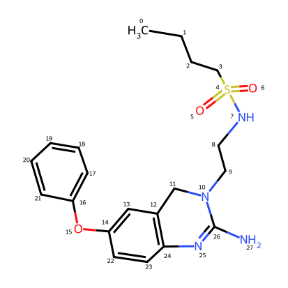 CCCCS(=O)(=O)NCCN1Cc2cc(Oc3ccccc3)ccc2N=C1N